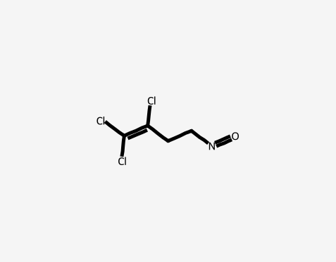 O=NCCC(Cl)=C(Cl)Cl